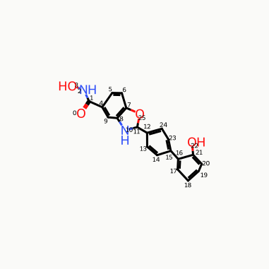 O=C(NO)c1ccc2c(c1)NC(c1ccc(-c3ccccc3O)cc1)O2